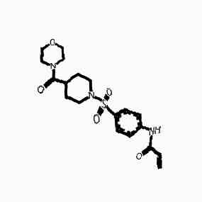 C=CC(=O)Nc1ccc(S(=O)(=O)N2CCC(C(=O)N3CCOCC3)CC2)cc1